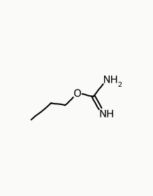 CCCOC(=N)N